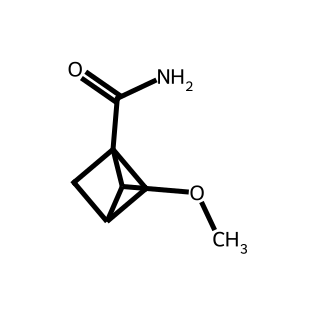 COC1C2CC1(C(N)=O)C2